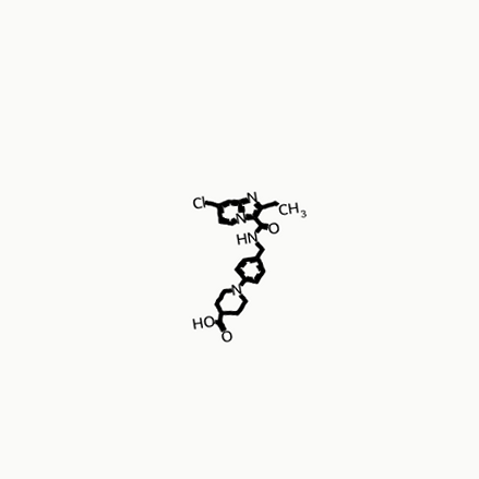 CCc1nc2cc(Cl)ccn2c1C(=O)NCc1ccc(N2CCC(C(=O)O)CC2)cc1